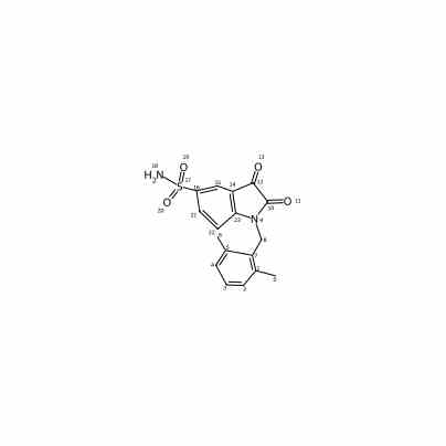 Cc1cccc(C)c1CN1C(=O)C(=O)c2cc(S(N)(=O)=O)ccc21